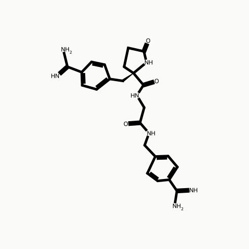 N=C(N)c1ccc(CNC(=O)CNC(=O)[C@]2(Cc3ccc(C(=N)N)cc3)CCC(=O)N2)cc1